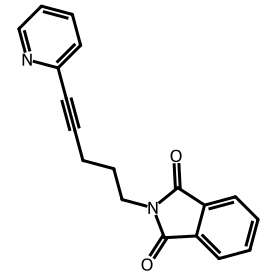 O=C1c2ccccc2C(=O)N1CCCC#Cc1ccccn1